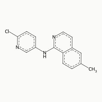 Cc1ccc2c(Nc3ccc(Cl)nc3)nccc2c1